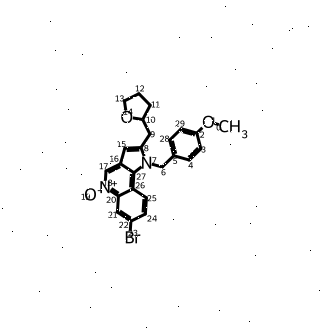 COc1ccc(Cn2c(CC3CCCO3)cc3c[n+]([O-])c4cc(Br)ccc4c32)cc1